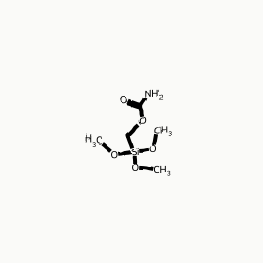 CO[Si](COC(N)=O)(OC)OC